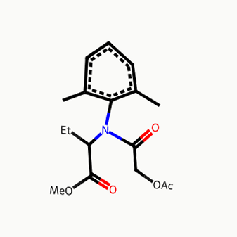 CCC(C(=O)OC)N(C(=O)COC(C)=O)c1c(C)cccc1C